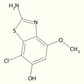 COc1cc(O)c(Cl)c2sc(N)nc12